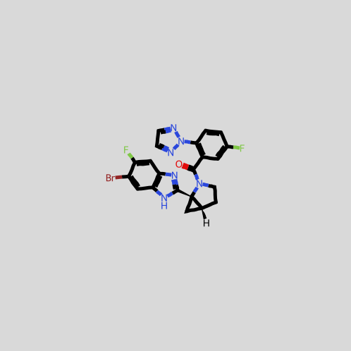 O=C(c1cc(F)ccc1-n1nccn1)N1CC[C@@H]2C[C@@]21c1nc2cc(F)c(Br)cc2[nH]1